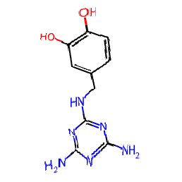 Nc1nc(N)nc(NCc2ccc(O)c(O)c2)n1